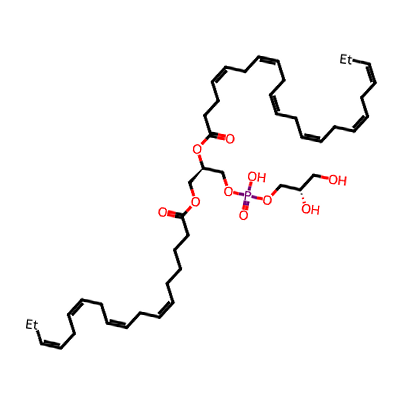 CC/C=C\C/C=C\C/C=C\C/C=C\C/C=C\C/C=C\CCC(=O)O[C@H](COC(=O)CCCC/C=C\C/C=C\C/C=C\C/C=C\CC)COP(=O)(O)OC[C@@H](O)CO